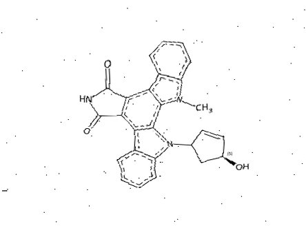 Cn1c2ccccc2c2c3c(c4c5ccccc5n(C5C=C[C@@H](O)C5)c4c21)C(=O)NC3=O